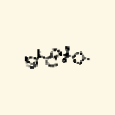 Cc1ccc(S(=O)(=O)n2ccc3c(NC4CN5CCC4CC5)cccc32)cc1